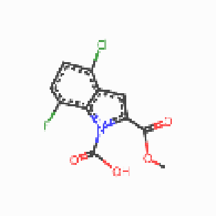 COC(=O)c1cc2c(Cl)ccc(F)c2n1C(=O)O